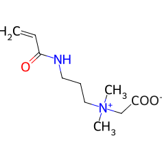 C=CC(=O)NCCC[N+](C)(C)CC(=O)[O-]